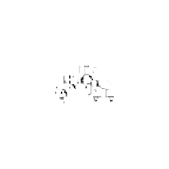 CCn1c(C(=O)N(C2CC2)C2CC2)cc2c3c(ncn3C)c(NC(=S)Nc3cc(C)nn3C)nc21